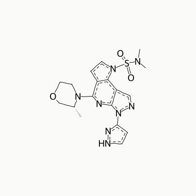 C[C@@H]1COCCN1c1nc2c(cnn2-c2cc[nH]n2)c2c1ccn2S(=O)(=O)N(C)C